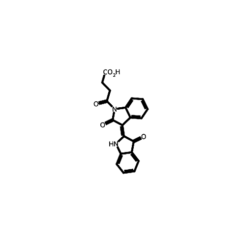 O=C(O)CCC(=O)N1C(=O)/C(=C2\Nc3ccccc3C2=O)c2ccccc21